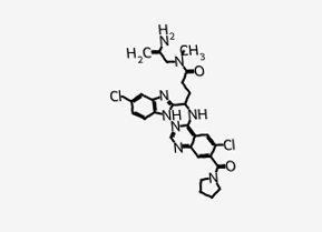 C=C(N)CN(C)C(=O)CCC(Nc1ncnc2cc(C(=O)N3CCCC3)c(Cl)cc12)c1nc2cc(Cl)ccc2[nH]1